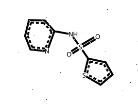 O=S(=O)(Nc1[c]cccn1)c1cccs1